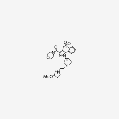 COC1CCN(CCN2CCC[C@H](n3nc(C(=O)N4CCOCC4)c4c3-c3ccccc3S(=O)(=O)C4)C2)C1